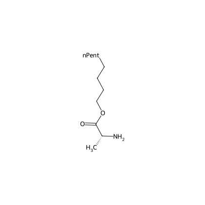 CCCCCCCCCOC(=O)[C@@H](C)N